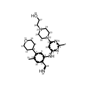 Cc1nc(Nc2cc(C3CCOCC3)c(C)cc2C=N)cc(N2CCN(CCO)CC2)n1